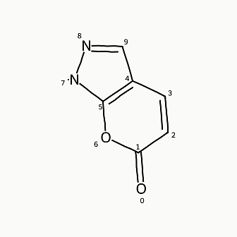 O=c1ccc2c(o1)[N]N=C2